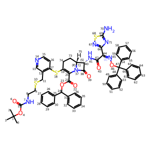 CC(C)(C)OC(=O)NCCSCc1cnccc1SC1=C(C(=O)OC(c2ccccc2)c2ccccc2)N2C(=O)[C@@H](NC(=O)/C(=N\OC(c3ccccc3)(c3ccccc3)c3ccccc3)c3nsc(N)n3)[C@H]2CC1